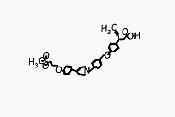 CC#C[C@@H](CC(=O)O)c1ccc(OCc2ccc(CN3CC=C(c4ccc(OCCCS(C)(=O)=O)cc4)CC3)cc2)cc1